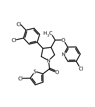 CC(Oc1ccc(Cl)cn1)C1CN(C(=O)c2ccc(Cl)s2)CC1c1ccc(Cl)c(Cl)c1